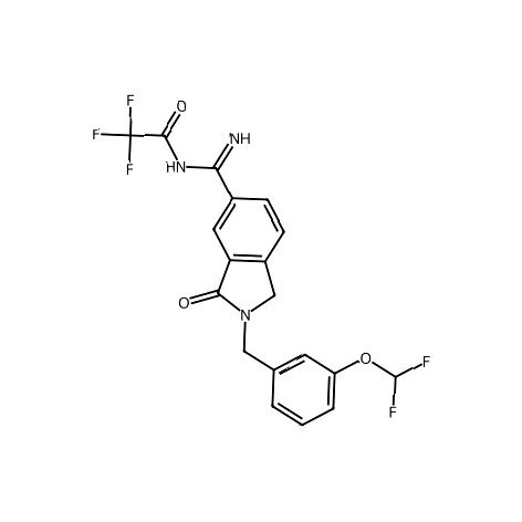 N=C(NC(=O)C(F)(F)F)c1ccc2c(c1)C(=O)N(Cc1cccc(OC(F)F)c1)C2